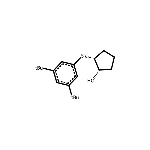 CC(C)(C)c1cc(S[C@@H]2CCC[C@@H]2O)cc(C(C)(C)C)c1